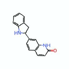 O=c1ccc2ccc(C3Cc4ccccc4N3)cc2[nH]1